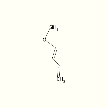 C=C/C=C/O[SiH3]